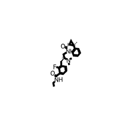 CCNC(=O)c1cccc(C[C@@H](CNC(=O)[C@@H]2C[C@@]2(C)c2ccccc2)N(C)C)c1F